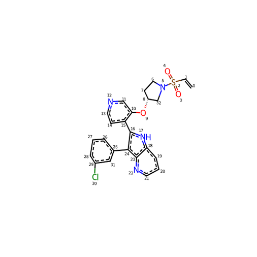 C=CS(=O)(=O)N1CC[C@@H](Oc2cnccc2-c2[nH]c3cccnc3c2-c2cccc(Cl)c2)C1